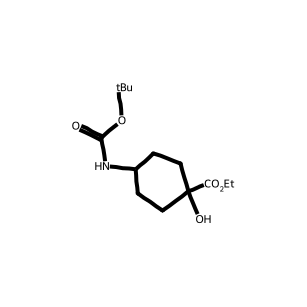 CCOC(=O)C1(O)CCC(NC(=O)OC(C)(C)C)CC1